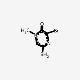 Bc1cn(C)c(=O)c(Br)n1